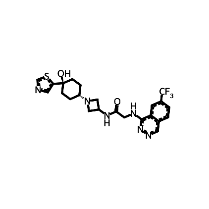 O=C(CNc1nncc2ccc(C(F)(F)F)cc12)NC1CN([C@H]2CC[C@@](O)(c3cncs3)CC2)C1